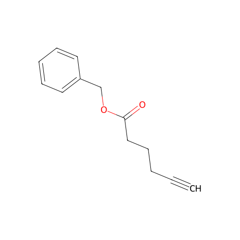 C#CCCCC(=O)OCc1ccccc1